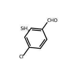 O=Cc1ccc(Cl)cc1.[SiH4]